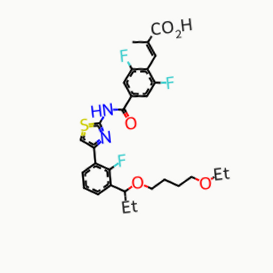 CCOCCCCOC(CC)c1cccc(-c2csc(NC(=O)c3cc(F)c(C=C(C)C(=O)O)c(F)c3)n2)c1F